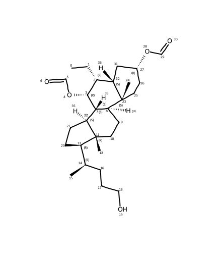 CC[C@H]1[C@@H](OC=O)[C@@H]2[C@H](CC[C@]3(C)[C@@H]([C@H](C)CCCO)CC[C@@H]23)[C@@]2(C)CC[C@@H](OC=O)C[C@@H]12